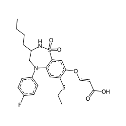 CCCCC1CN(c2ccc(F)cc2)c2cc(SCC)c(OC=CC(=O)O)cc2S(=O)(=O)N1